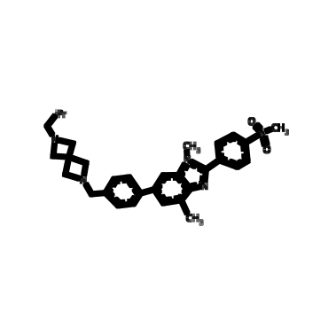 Cc1cc(-c2ccc(CN3CC4(C3)CN(CC(C)C)C4)cc2)cc2c1nc(-c1ccc(S(C)(=O)=O)cc1)n2C